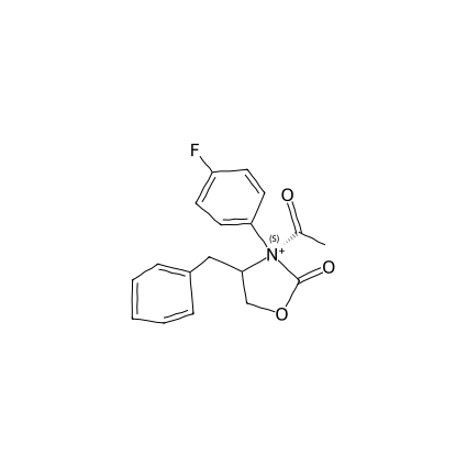 CC(=O)[N@+]1(c2ccc(F)cc2)C(=O)OCC1Cc1ccccc1